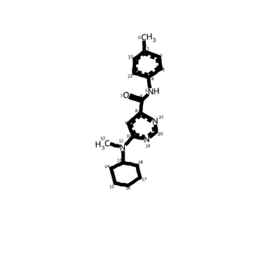 Cc1ccc(NC(=O)c2cc(N(C)C3CCCCC3)ncn2)cc1